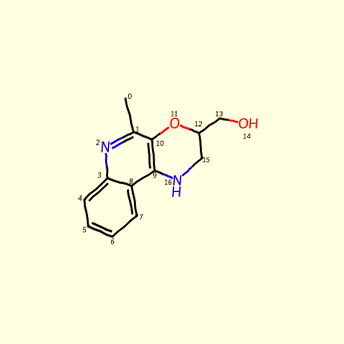 Cc1nc2ccccc2c2c1OC(CO)CN2